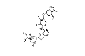 C=CC(=O)N1C[C@@H]2C[C@H]1CN(c1ncc3ncnc(Nc4ccc(Oc5cc(F)c6c(c5)ncn6C)c(C)c4F)c3n1)C2